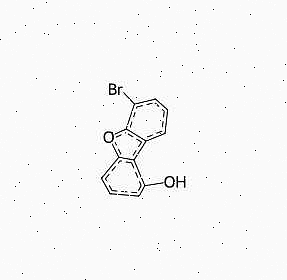 Oc1cccc2oc3c(Br)cccc3c12